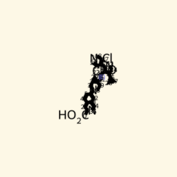 O=C(O)c1cc2ccc(N3CCC4(/C=C/c5c(-c6c(Cl)cncc6Cl)noc5C5CC5)CC4C3)cc2cn1